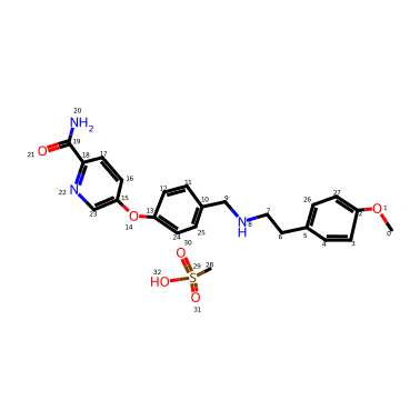 COc1ccc(CCNCc2ccc(Oc3ccc(C(N)=O)nc3)cc2)cc1.CS(=O)(=O)O